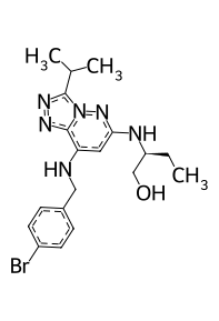 CC[C@@H](CO)Nc1cc(NCc2ccc(Br)cc2)c2nnc(C(C)C)n2n1